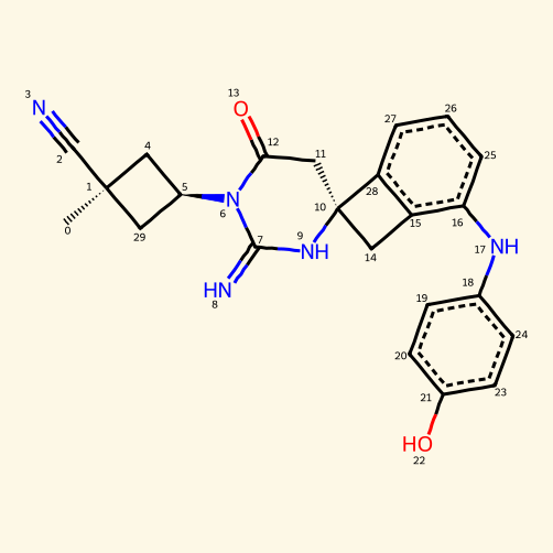 C[C@]1(C#N)C[C@@H](N2C(=N)N[C@]3(CC2=O)Cc2c(Nc4ccc(O)cc4)cccc23)C1